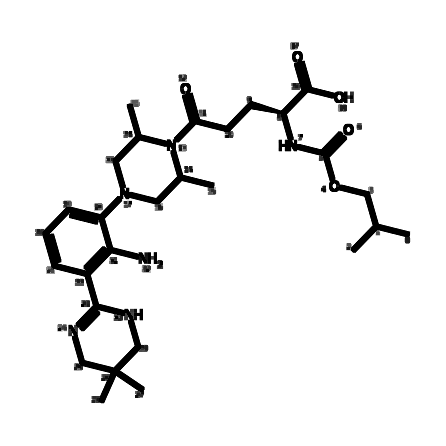 CC(C)COC(=O)N[C@@H](CCC(=O)N1C(C)CN(c2cccc(C3=NCC(C)(C)CN3)c2N)CC1C)C(=O)O